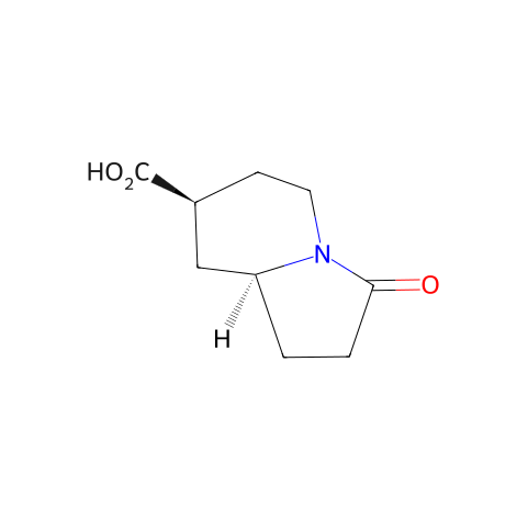 O=C(O)[C@H]1CCN2C(=O)CC[C@H]2C1